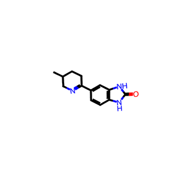 CC1CCC(c2ccc3[nH]c(=O)[nH]c3c2)=NC1